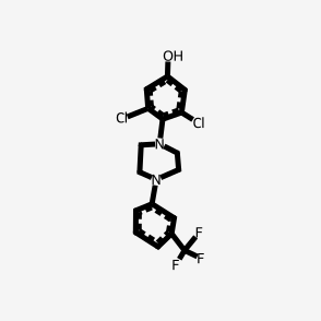 Oc1cc(Cl)c(N2CCN(c3cccc(C(F)(F)F)c3)CC2)c(Cl)c1